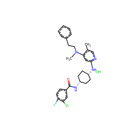 Cc1cnc(N[C@H]2CC[C@@H](NC(=O)c3ccc(F)c(Cl)c3)CC2)cc1N(C)CCc1ccccc1.Cl